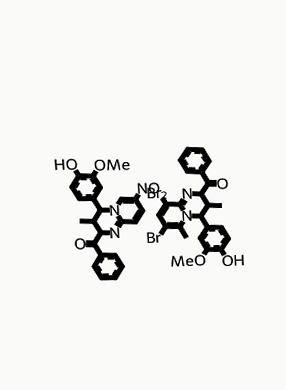 COc1cc(C2C(C)C(C(=O)c3ccccc3)N=C3C(Br)=CC(Br)=C(C)N32)ccc1O.COc1cc(C2C(C)C(C(=O)c3ccccc3)N=C3C=CC([N+](=O)[O-])=CN32)ccc1O